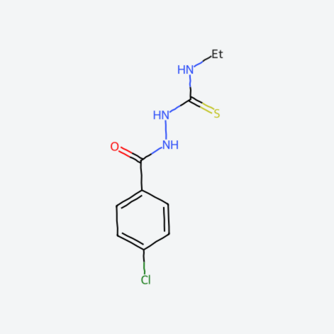 CCNC(=S)NNC(=O)c1ccc(Cl)cc1